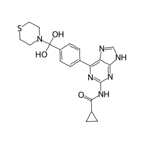 O=C(Nc1nc(-c2ccc(C(O)(O)N3CCSCC3)cc2)c2nc[nH]c2n1)C1CC1